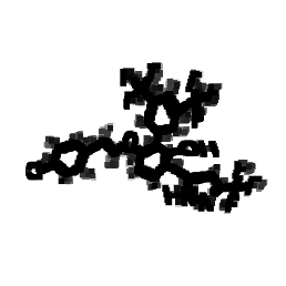 Oc1c(-c2cc(C(F)(F)F)n[nH]2)ccc(OCCc2ccc(Cl)cc2)c1-c1cc(C(F)(F)F)cc(C(F)(F)F)c1